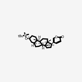 CC(C)(C)[Si](C)(C)O[C@H]1CC[C@@]2(C)[C@H](CC[C@H]3[C@H]4CC[C@H](c5ccc(=O)oc5)[C@@]4(C)CC[C@@H]32)C1